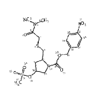 CN(C#N)C(=O)CSCC1CC(OS(C)(=O)=O)CN1C(=O)OCc1ccc([N+](=O)[O-])cc1